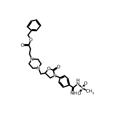 CS(=O)(=O)NC(=N)c1ccc(N2CC(CN3CCN(CCC(=O)OCc4ccccc4)CC3)OC2=O)cc1